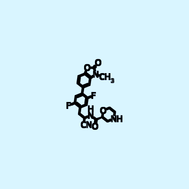 Cn1c(=O)oc2ccc(-c3cc(F)c(CC(C#N)NC(=O)[C@@H]4CNCCO4)cc3F)cc21